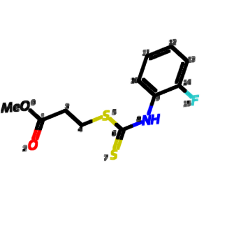 COC(=O)CCSC(=S)Nc1ccccc1F